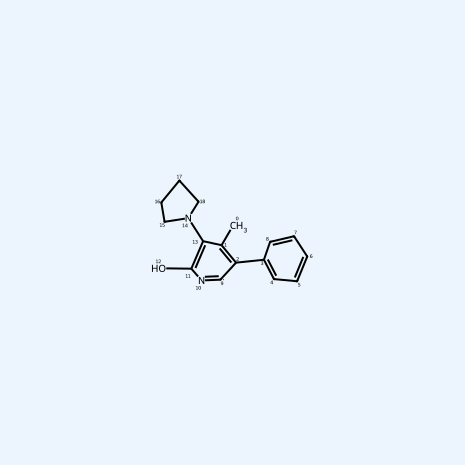 Cc1c(-c2ccccc2)[c]nc(O)c1N1CCCC1